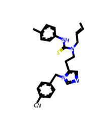 CC=CCN(CCc1cncn1Cc1ccc(C#N)cc1)C(=S)Nc1ccc(C)cc1